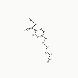 O=C(CI)N1CCN(CCOCCO)CC1